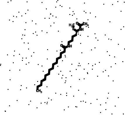 CCCCCCCCCCCCCCCC(=O)NCCCC[C@H](NC(C)=O)SC